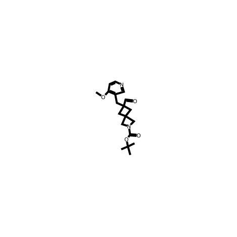 COc1ccncc1CC1(C=O)CC2(CN(C(=O)OC(C)(C)C)C2)C1